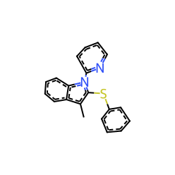 Cc1c(Sc2ccccc2)n(-c2ccccn2)c2ccccc12